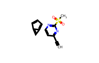 C#Cc1ccnc(S(C)(=O)=O)n1.c1cc2cc-2c1